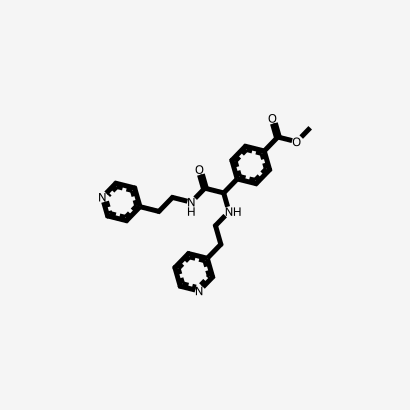 COC(=O)c1ccc(C(NCCc2cccnc2)C(=O)NCCc2ccncc2)cc1